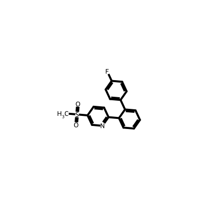 CS(=O)(=O)c1ccc(-c2ccccc2-c2ccc(F)cc2)nc1